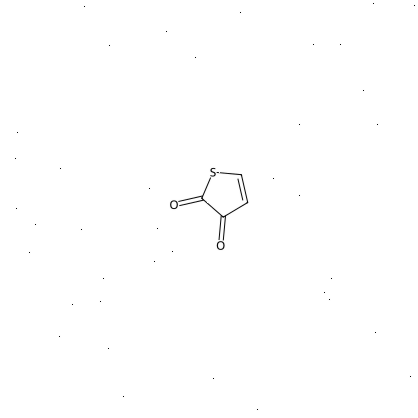 O=C1C=CSC1=O